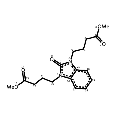 COC(=O)CCCn1c(=O)n(CCCC(=O)OC)c2ccccc21